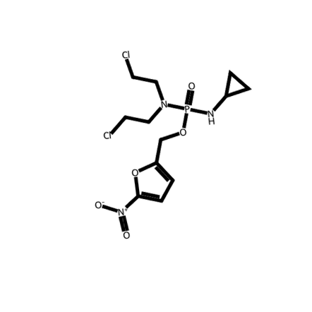 O=[N+]([O-])c1ccc(COP(=O)(NC2CC2)N(CCCl)CCCl)o1